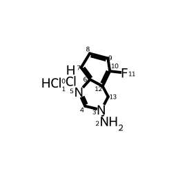 Cl.Cl.NN1C=Nc2cccc(F)c2C1